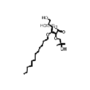 CCCCCCCCCCCCOC1=C(OCC(C)(C)O)C(=O)O[C@@H]1[C@@H](O)CO